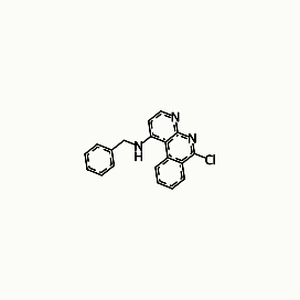 Clc1nc2nccc(NCc3ccccc3)c2c2ccccc12